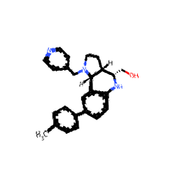 Cc1ccc(-c2ccc3c(c2)[C@H]2[C@H](CCN2Cc2ccncc2)[C@H](CO)N3)cc1